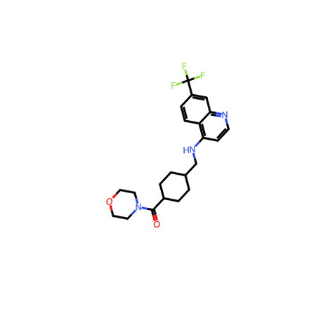 O=C(C1CCC(CNc2ccnc3cc(C(F)(F)F)ccc23)CC1)N1CCOCC1